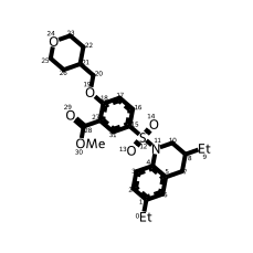 CCc1ccc2c(c1)CC(CC)CN2S(=O)(=O)c1ccc(OCC2CCOCC2)c(C(=O)OC)c1